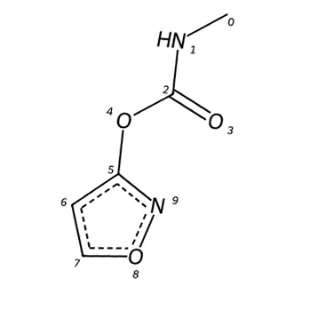 CNC(=O)Oc1ccon1